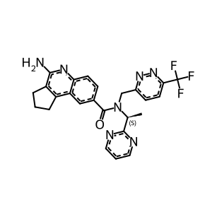 C[C@@H](c1ncccn1)N(Cc1ccc(C(F)(F)F)nn1)C(=O)c1ccc2nc(N)c3c(c2c1)CCC3